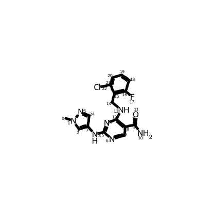 Cn1cc(Nc2ncc(C(N)=O)c(NCc3c(F)cccc3Cl)n2)cn1